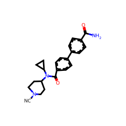 N#CN1CCC(N(C(=O)c2ccc(-c3ccc(C(N)=O)cc3)cc2)C2CC2)CC1